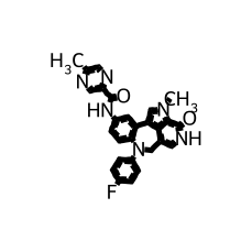 Cc1cnc(C(=O)Nc2ccc3c(c2)-c2cn(C)c4c(=O)[nH]cc(c24)CN3c2ccc(F)cc2)cn1